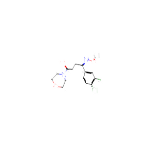 CO/N=C(/CCC(=O)N1CCOCC1)c1ccc(Cl)c(Cl)c1